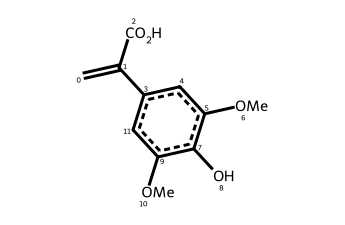 C=C(C(=O)O)c1cc(OC)c(O)c(OC)c1